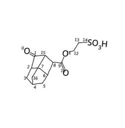 O=C1C2CC3CC(C2)C(C(=O)OCCS(=O)(=O)O)C1C3